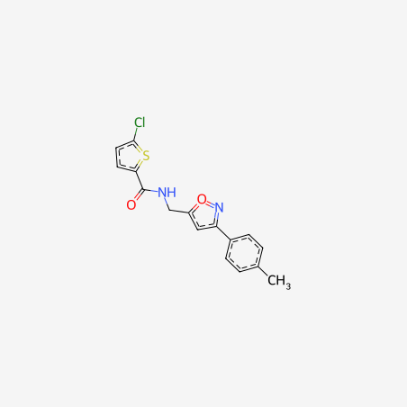 Cc1ccc(-c2cc(CNC(=O)c3ccc(Cl)s3)on2)cc1